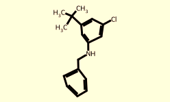 CC(C)(C)c1cc(Cl)cc(NCc2ccccc2)c1